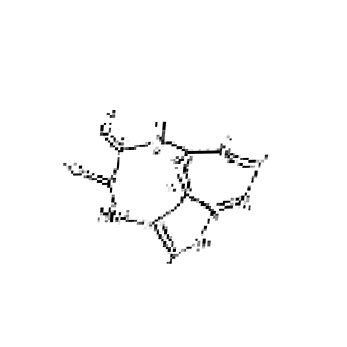 O=C1Nc2c[nH]c3ncnc(c23)NC1=O